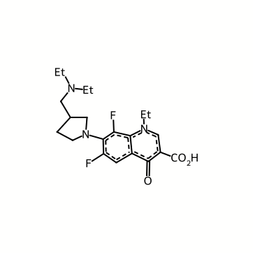 CCN(CC)CC1CCN(c2c(F)cc3c(=O)c(C(=O)O)cn(CC)c3c2F)C1